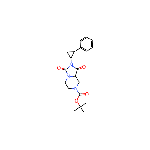 CC(C)(C)OC(=O)N1CCN2C(=O)N(C3CC3c3ccccc3)C(=O)C2C1